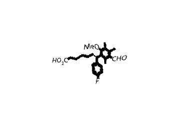 COc1c(C)c(C)c(C=O)c(C)c1[C@H](CCCCCC(=O)O)c1ccc(F)cc1